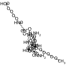 CCCOCCOCCOCCOCCOCCOP(=O)(O)OC[C@H]1O[C@@H](n2ccc(N)nc2=O)C[C@@H]1OP(=O)(O)OC[C@H]1O[C@@H](n2ccc(N)nc2=O)C[C@@H]1OP(=O)(O)OCCCNC(=O)CCCN1N=NC2c3ccccc3CN(C(=O)CCCCC(=O)NCCOCCOCCOCCOCCC(=O)O)c3ccccc3C21